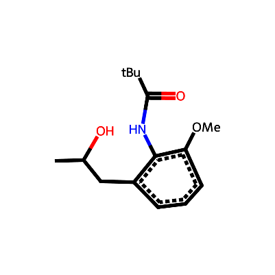 COc1cccc(CC(C)O)c1NC(=O)C(C)(C)C